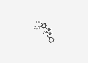 O=C(NCC1CCCCC1)Nc1ccc(O)c([N+](=O)[O-])c1